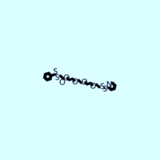 O=C(CSC(=S)c1ccccc1)OCCOCCOCCOCCSSc1ccccn1